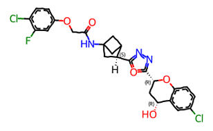 O=C(COc1ccc(Cl)c(F)c1)NC12CC(C1)[C@@H](c1nnc([C@H]3C[C@@H](O)c4cc(Cl)ccc4O3)o1)C2